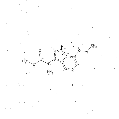 CCOc1cccc2c(N(N)C(=O)OC)n[nH]c12